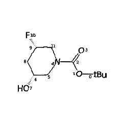 CC(C)(C)OC(=O)N1C[C@H](O)C[C@H](F)C1